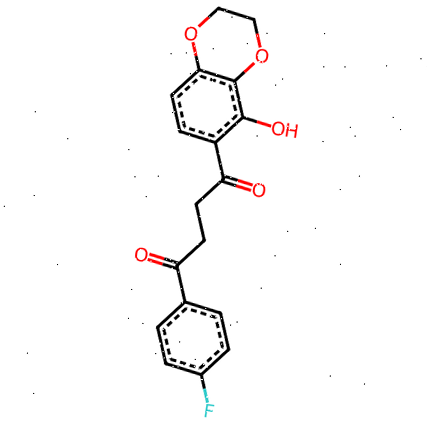 O=C(CCC(=O)c1ccc2c(c1O)OCCO2)c1ccc(F)cc1